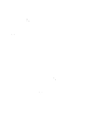 c1ccc(C2COC(CCCCC3=NCCCO3)=N2)cc1